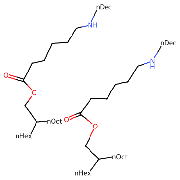 CCCCCCCCCCNCCCCCC(=O)OCC(CCCCCC)CCCCCCCC.CCCCCCCCCCNCCCCCC(=O)OCC(CCCCCC)CCCCCCCC